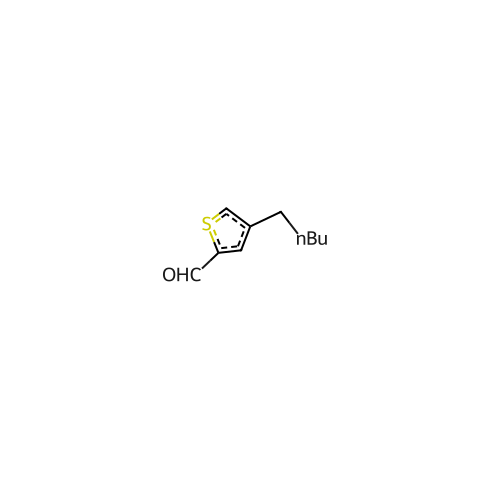 CCCCCc1csc(C=O)c1